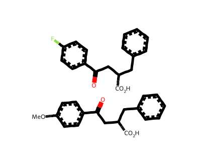 COc1ccc(C(=O)CC(Cc2ccccc2)C(=O)O)cc1.O=C(CC(Cc1ccccc1)C(=O)O)c1ccc(F)cc1